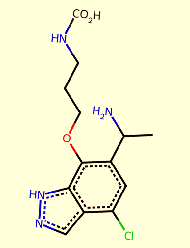 CC(N)c1cc(Cl)c2cn[nH]c2c1OCCCNC(=O)O